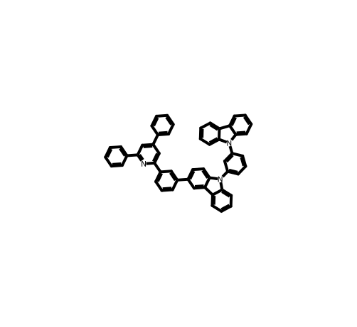 c1ccc(-c2cc(-c3ccccc3)nc(-c3cccc(-c4ccc5c(c4)c4ccccc4n5-c4cccc(-n5c6ccccc6c6ccccc65)c4)c3)c2)cc1